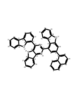 c1ccc2c(-c3cc(-c4nc(-c5cccc6c5oc5ccccc56)c5sc6ccccc6c5n4)c4c(c3)oc3ccccc34)cccc2c1